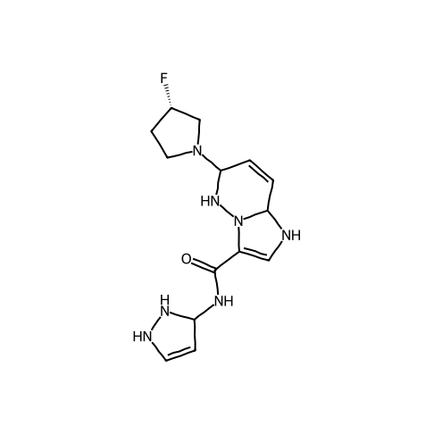 O=C(NC1C=CNN1)C1=CNC2C=CC(N3CC[C@H](F)C3)NN12